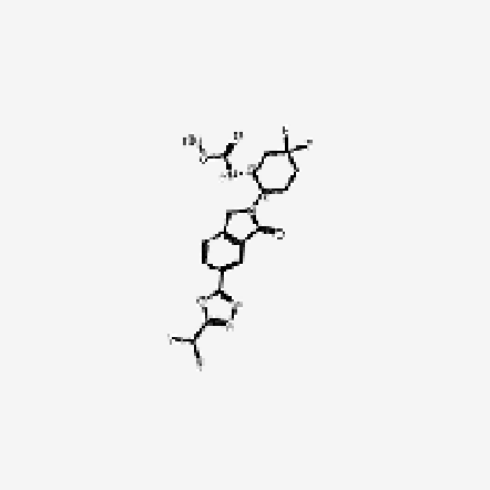 CC(C)(C)OC(=O)N[C@@H]1CC(F)(F)CC[C@H]1N1Cc2ccc(-c3nnc(C(F)F)o3)cc2C1=O